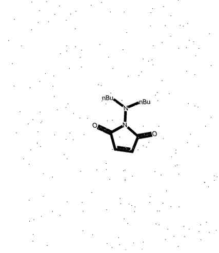 CCCCN(CCCC)N1C(=O)C=CC1=O